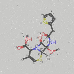 COC1(NC(=O)Cc2cccs2)C(=O)N2C(C(=O)O)C(C)=CS[C@H]21